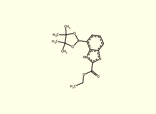 CCOC(=O)c1nc2cccc(B3OC(C)(C)C(C)(C)O3)c2[nH]1